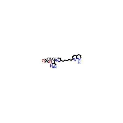 COC1(COc2ncncc2C(C(=O)O)N2CCC(CCCCCc3ccc4c(n3)NCCC4)C2)COC1